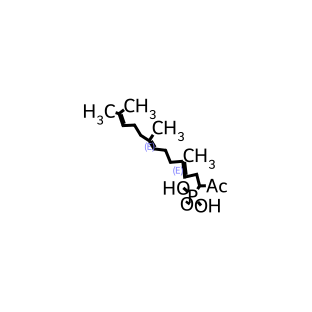 CC(=O)C(C/C=C(\C)CC/C=C(\C)CCC=C(C)C)P(=O)(O)O